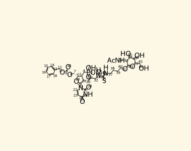 COP(=O)(O)CC1[C@@H](COC(=O)OCc2ccccc2)O[C@@H](n2ccc(=O)[nH]c2=O)[C@H]1CCCNC(=S)NCCCCO[C@@H]1O[C@H](CO)[C@H](O)[C@H](O)[C@H]1NC(C)=O